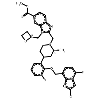 COC(=O)c1ccc2nc(CN3CCC(c4cccc(F)c4OCc4ccc(F)c5cc(Cl)oc45)C[C@@H]3C)n(C[C@@H]3CCO3)c2c1